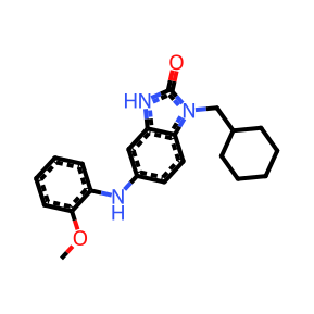 COc1ccccc1Nc1ccc2c(c1)[nH]c(=O)n2CC1CCCCC1